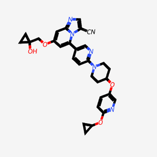 N#Cc1cnc2cc(OCC3(O)CC3)cc(-c3ccc(N4CCC(Oc5ccc(OC6CC6)nc5)CC4)nc3)n12